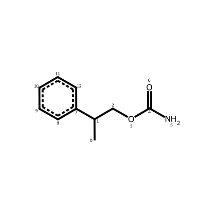 CC(COC(N)=O)c1ccccc1